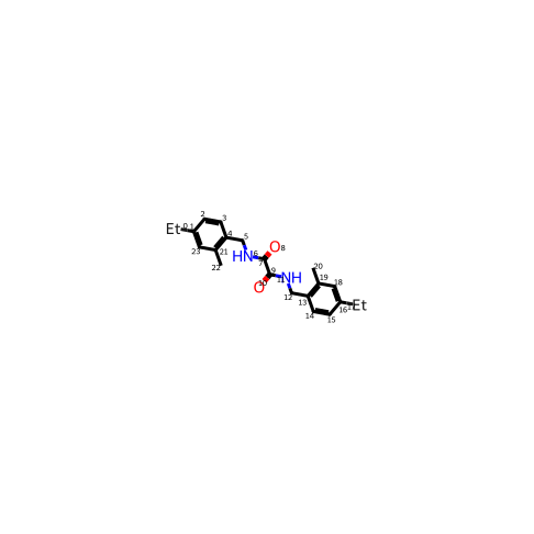 CCc1ccc(CNC(=O)C(=O)NCc2ccc(CC)cc2C)c(C)c1